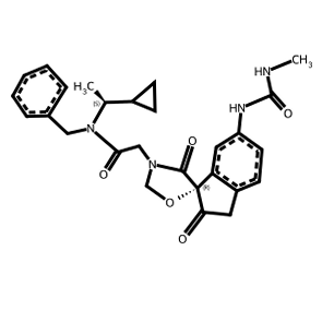 CNC(=O)Nc1ccc2c(c1)[C@@]1(OCN(CC(=O)N(Cc3ccccc3)[C@@H](C)C3CC3)C1=O)C(=O)C2